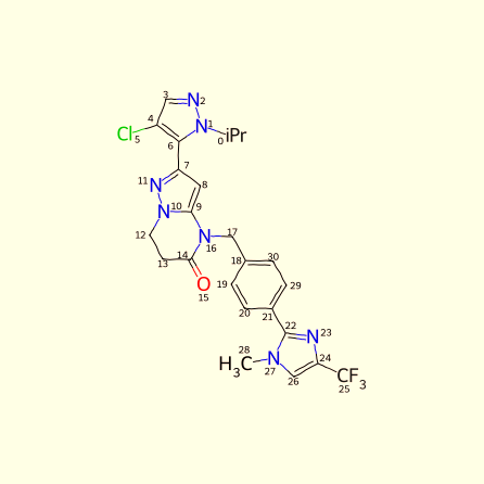 CC(C)n1ncc(Cl)c1-c1cc2n(n1)CCC(=O)N2Cc1ccc(-c2nc(C(F)(F)F)cn2C)cc1